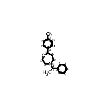 C[C@H](c1ccccc1)N1CCOC(c2ccc(C#N)cc2)CC1